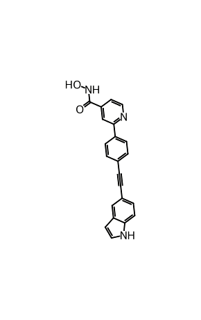 O=C(NO)c1ccnc(-c2ccc(C#Cc3ccc4[nH]ccc4c3)cc2)c1